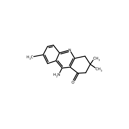 Cc1ccc2nc3c(c(N)c2c1)C(=O)CC(C)(C)C3